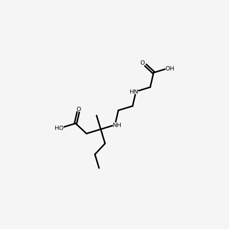 CCCC(C)(CC(=O)O)NCCNCC(=O)O